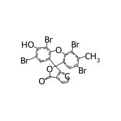 Cc1c(Br)cc2c(c1Br)Oc1c(cc(Br)c(O)c1Br)C21OC(=O)c2ccccc21